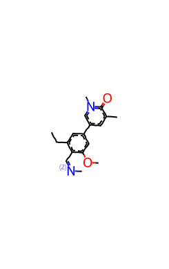 CCc1cc(-c2cc(C)c(=O)n(C)c2)cc(OC)c1/C=N\C